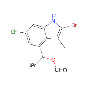 Cc1c(Br)[nH]c2cc(Cl)cc(C(OC=O)C(C)C)c12